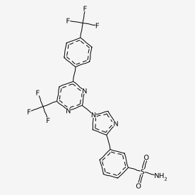 NS(=O)(=O)c1cccc(-c2cn(-c3nc(-c4ccc(C(F)(F)F)cc4)cc(C(F)(F)F)n3)cn2)c1